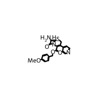 COc1ccc(COC(=O)C2=C(c3ccncc3)CS[C@@H]3[C@@H](N)C(=O)N23)cc1